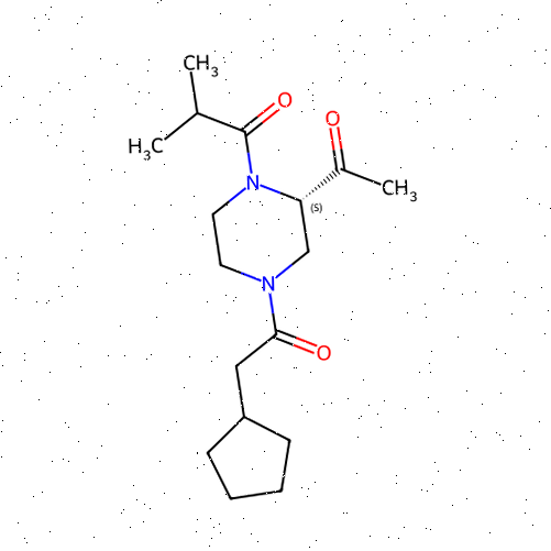 CC(=O)[C@@H]1CN(C(=O)CC2CCCC2)CCN1C(=O)C(C)C